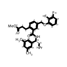 COC(=O)CCc1ccc(COc2cccc(F)c2F)cc1C(=O)N[C@H](CC(C)C)c1cc(C)cc(C)c1